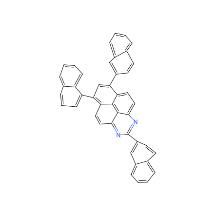 c1ccc2cc(-c3nc4ccc5c(-c6ccc7ccccc7c6)cc(-c6cccc7ccccc67)c6ccc(n3)c4c56)ccc2c1